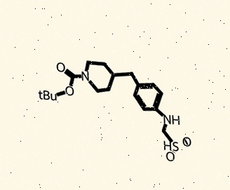 CC(C)(C)OC(=O)N1CCC(Cc2ccc(NC[SH](=O)=O)cc2)CC1